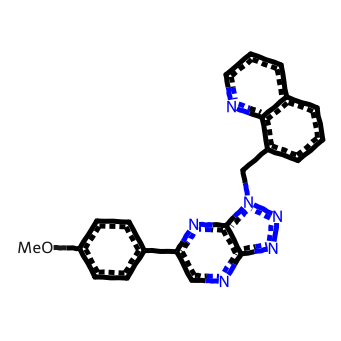 COc1ccc(-c2cnc3nnn(Cc4cccc5cccnc45)c3n2)cc1